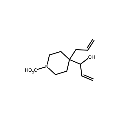 C=CCC1(C(O)C=C)CCN(C(=O)O)CC1